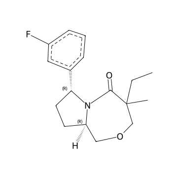 CCC1(C)COC[C@H]2CC[C@H](c3cccc(F)c3)N2C1=O